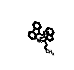 C=CCC(CC)C1([Si](C)(C)C2c3ccccc3-c3ccccc32)C=Cc2ccccc21